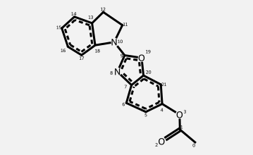 CC(=O)Oc1ccc2nc(N3CCc4ccccc43)oc2c1